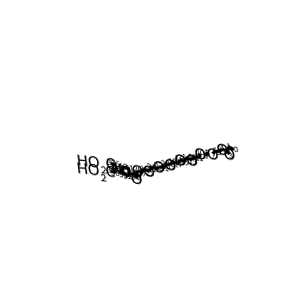 C=CC(=O)OCCOCCOCCOCCOCCOCCOCCOCCOC(=O)c1ccc(N(CC(=O)O)CC(=O)O)cc1